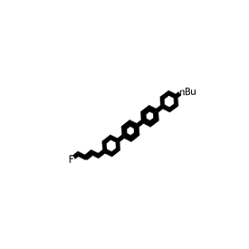 CCCCC1CCC(c2ccc(-c3ccc(C4CCC(C/C=C/CF)CC4)cc3)cc2)CC1